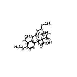 CCCCCCc1c(C(O)(OC)C(OC)(C(=O)O)C(=O)O)ccc(CC)c1CC